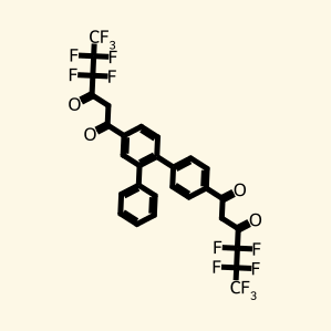 O=C(CC(=O)C(F)(F)C(F)(F)C(F)(F)F)c1ccc(-c2ccc(C(=O)CC(=O)C(F)(F)C(F)(F)C(F)(F)F)cc2-c2ccccc2)cc1